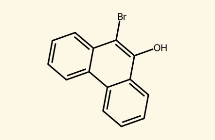 Oc1c(Br)c2ccccc2c2ccccc12